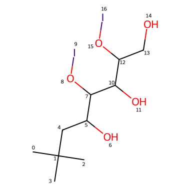 CC(C)(C)CC(O)C(OI)C(O)C(CO)OI